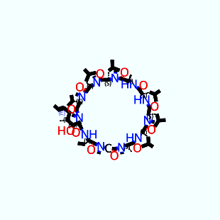 C/C=C/C[C@@H](C)[C@@H](O)[C@H]1C(=O)N[C@@H](CC)C(=O)N(C)CC(=O)N(C)[C@@H](C)C(=O)N[C@@H](CC(C)C)C(=O)N(C)[C@@H](CC(C)C)C(=O)N[C@@H](CC(C)C)C(=O)N[C@H](C)C(=O)N(C)[C@@H](CC(C)C)C(=O)N(C)[C@@H](CC(C)C)C(=O)N(C)[C@@H](C(C)C)C(=O)N1C